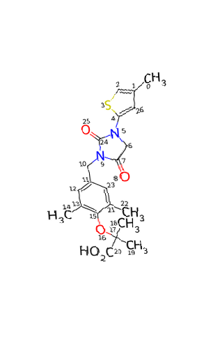 Cc1csc(N2CC(=O)N(Cc3cc(C)c(OC(C)(C)C(=O)O)c(C)c3)C2=O)c1